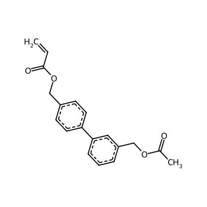 C=CC(=O)OCc1ccc(-c2cccc(COC(C)=O)c2)cc1